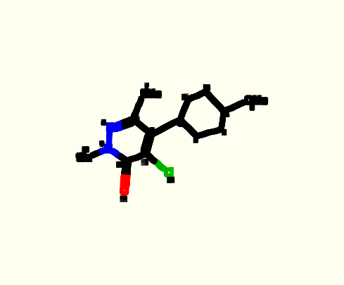 COC1CCC(c2c(SC)nn(C(C)(C)C)c(=O)c2Cl)CC1